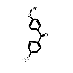 CC(C)Oc1ccc(C(=O)c2ccc([N+](=O)[O-])cc2)cc1